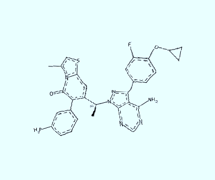 Cc1csc2cc([C@H](C)n3nc(-c4ccc(OC5CC5)c(F)c4)c4c(N)ncnc43)c(-c3cccc(P)c3)c(=O)n12